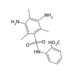 Cc1c(N)c(C)c(S(=O)(=O)Nc2ccccc2C(=O)O)c(C)c1N